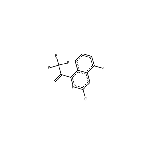 C=C(c1nc(Cl)cc2c(I)cccc12)C(F)(F)F